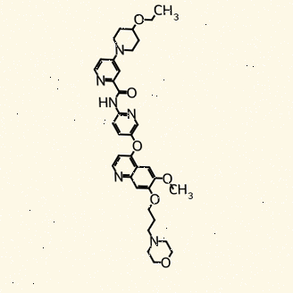 CCOC1CCN(c2ccnc(C(=O)Nc3ccc(Oc4ccnc5cc(OCCCN6CCOCC6)c(OC)cc45)cn3)c2)CC1